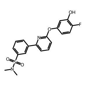 CN(C)S(=O)(=O)c1cccc(-c2cccc(Oc3ccc(F)c(O)c3)n2)c1